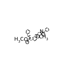 CCOC(=O)C(Cc1ccc2oc(Cc3nc(-c4ccccc4)oc3C)cc2c1)SCc1ccccc1